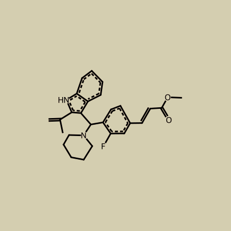 C=C(C)c1[nH]c2ccccc2c1C(c1ccc(/C=C/C(=O)OC)cc1F)N1CCCCC1